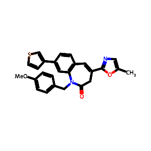 COc1ccc(CN2C(=O)CC(c3ncc(C)o3)=Cc3ccc(-c4ccsc4)cc32)cc1